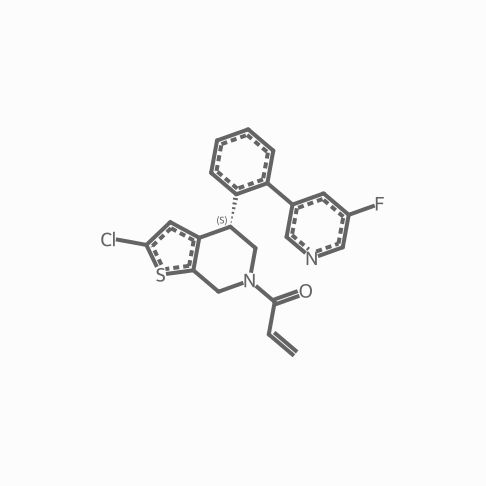 C=CC(=O)N1Cc2sc(Cl)cc2[C@H](c2ccccc2-c2cncc(F)c2)C1